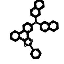 c1ccc(-c2nc3c4cc(N(c5ccc6ccccc6c5)c5ccc6ccccc6c5)ccc4c4ccccc4c3o2)cc1